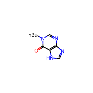 CCCCn1cnc2nc[nH]c2c1=O